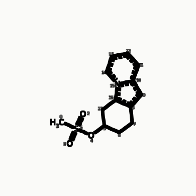 CS(=O)(=O)OC1CCc2cc3ccccn3c2C1